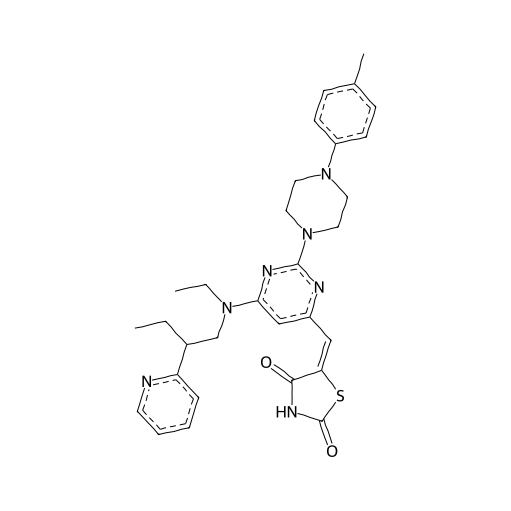 CCC(CN(CC)c1cc(C=C2SC(=O)NC2=O)nc(N2CCN(c3ccc(C)cc3)CC2)n1)c1ccccn1